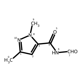 Cc1cc(C(=O)NC=O)n(C)n1